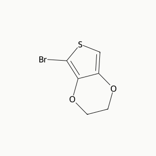 Brc1scc2c1OCCO2